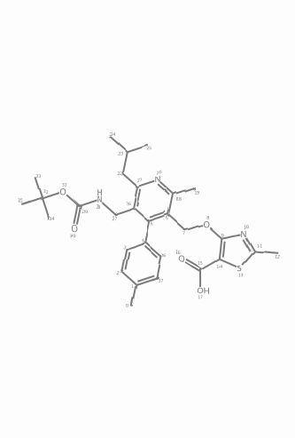 Cc1ccc(-c2c(COc3nc(C)sc3C(=O)O)c(C)nc(CC(C)C)c2CNC(=O)OC(C)(C)C)cc1